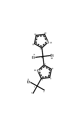 CCC(C)(C)c1ccc(C(CC)(CC)c2cccs2)s1